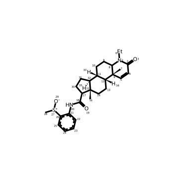 CCN1C(=O)C=C[C@@]2(C)C1CC[C@@H]1[C@H]2CC[C@]2(C)C(C(=O)Nc3ccccc3[S+](C)[O-])CC[C@@H]12